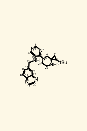 CC(C)(C)C1CC12CN(c1ncncc1NCc1ccc3nccnc3c1)CCN2